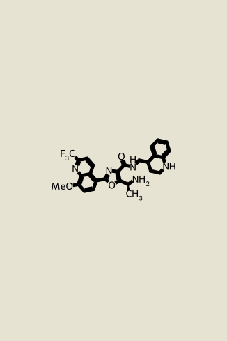 COc1ccc(-c2nc(C(=O)NCC3CCNc4ccccc43)c([C@H](C)N)o2)c2ccc(C(F)(F)F)nc12